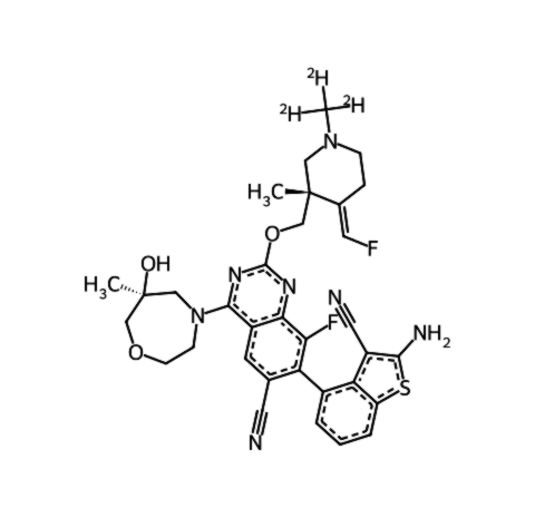 [2H]C([2H])([2H])N1CC/C(=C\F)[C@](C)(COc2nc(N3CCOC[C@@](C)(O)C3)c3cc(C#N)c(-c4cccc5sc(N)c(C#N)c45)c(F)c3n2)C1